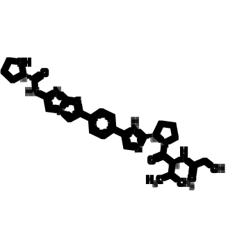 CC(C)[C@H](NC(=O)CO)C(=O)N1CCC[C@H]1c1ncc(-c2ccc(-c3cn4cc(NC(=O)[C@@H]5CCCN5)nc4s3)cc2)[nH]1